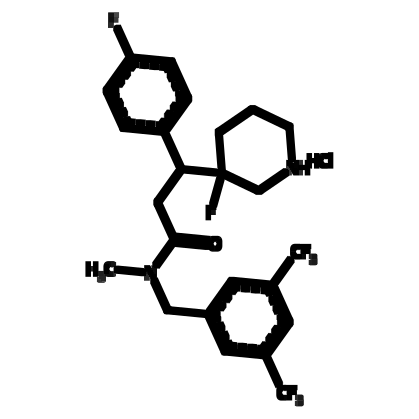 CN(Cc1cc(C(F)(F)F)cc(C(F)(F)F)c1)C(=O)CC(c1ccc(F)cc1)C1(F)CCCNC1.Cl